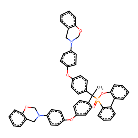 CC(c1ccc(Oc2ccc(N3COc4ccccc4C3)cc2)cc1)(c1ccc(Oc2ccc(N3COc4ccccc4C3)cc2)cc1)P1(=O)Oc2ccccc2-c2ccccc21